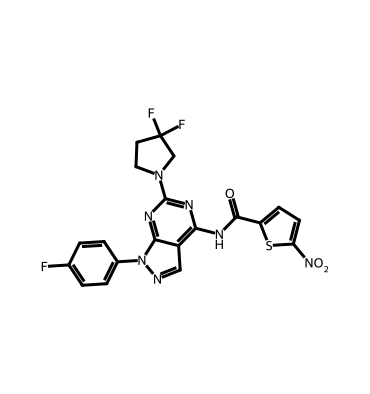 O=C(Nc1nc(N2CCC(F)(F)C2)nc2c1cnn2-c1ccc(F)cc1)c1ccc([N+](=O)[O-])s1